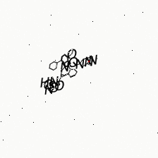 COc1ccc(C2CCCCC2)c2c1cc1n2CC2=C(C(=O)NS(=O)(=O)N(C)C)C2=C2C=CC[C@@H](C(=O)N3CC4CN(C)CC(C3)N4C)C21